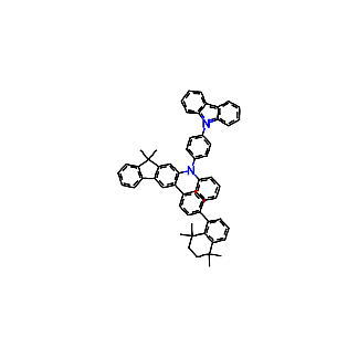 CC1(C)CCC(C)(C)c2c(-c3ccc(-c4cc5c(cc4N(c4ccccc4)c4ccc(-n6c7ccccc7c7ccccc76)cc4)C(C)(C)c4ccccc4-5)cc3)cccc21